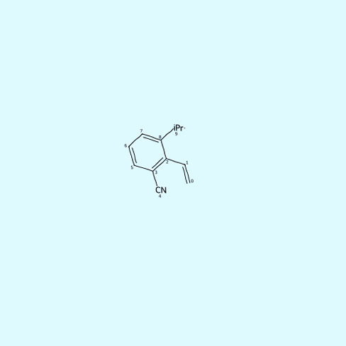 C=Cc1c(C#N)cccc1[C](C)C